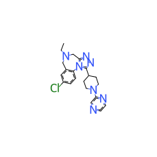 CCN1Cc2cc(Cl)ccc2-n2c(nnc2C2CCN(c3cnccn3)CC2)C1